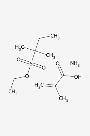 C=C(C)C(=O)O.CCOS(=O)(=O)C(C)(C)CC.N